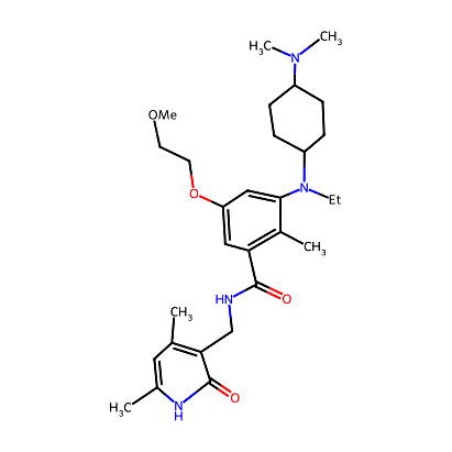 CCN(c1cc(OCCOC)cc(C(=O)NCc2c(C)cc(C)[nH]c2=O)c1C)C1CCC(N(C)C)CC1